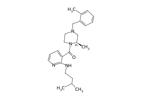 Cc1ccccc1CN1CCN(C(=O)c2cccnc2NCCC(C)C)[C@H](C)C1